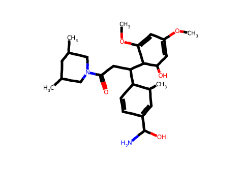 COC1=CC(O)C(C(CC(=O)N2CC(C)CC(C)C2)C2C=CC(C(N)O)=CC2C)C(OC)=C1